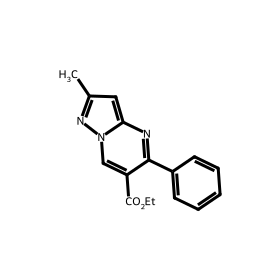 CCOC(=O)c1cn2nc(C)cc2nc1-c1ccccc1